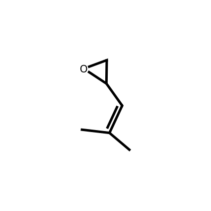 CC(C)=CC1CO1